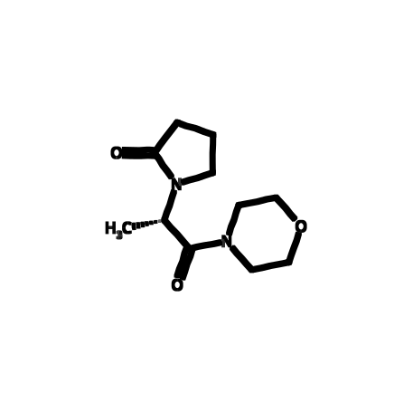 C[C@@H](C(=O)N1CCOCC1)N1CCCC1=O